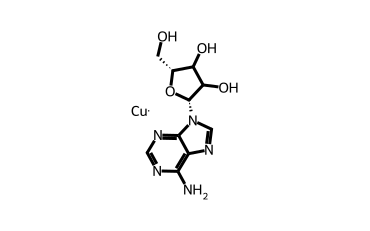 Nc1ncnc2c1ncn2[C@@H]1O[C@H](CO)C(O)C1O.[Cu]